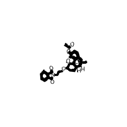 CC(=O)Oc1ccc2c3c1OC1C(OCCCN4C(=O)c5ccccc5C4=O)C=C[C@H]4[C@@H](C2)N(C)CC[C@]314